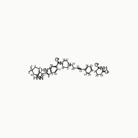 CC1(C)CCc2c(-c3cc4ccc(C(=O)N5CCN(CCC#Cc6ccc([C@H]7CCC(=O)NC7=O)cc6)CC5)cc4[nH]3)n[nH]c2C1